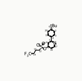 CC(C)(C)c1ccc(-c2cc(OS(=O)(=O)CCCC(F)(F)F)ccn2)cc1